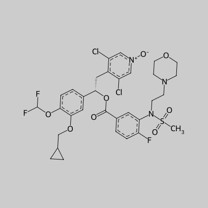 CS(=O)(=O)N(CCN1CCOCC1)c1cc(C(=O)O[C@@H](Cc2c(Cl)c[n+]([O-])cc2Cl)c2ccc(OC(F)F)c(OCC3CC3)c2)ccc1F